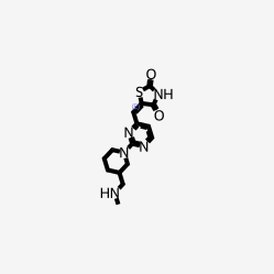 CNCC1CCCN(c2nccc(/C=C3/SC(=O)NC3=O)n2)C1